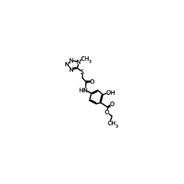 CCOC(=O)c1ccc(NC(=O)CSc2nnnn2C)cc1O